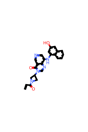 C=CC(=O)N1CC(n2cnc3c(Nc4cc(O)cc5ccccc45)cncc3c2=O)C1